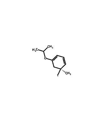 CC(C)OC1=CC=C[C@@](C)(I)C1